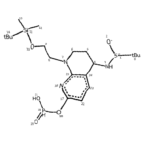 CC(C)(C)[S+]([O-])NC1CCN(CCO[Si](C)(C)C(C)(C)C)c2nc(O[PH](=O)O)ccc21